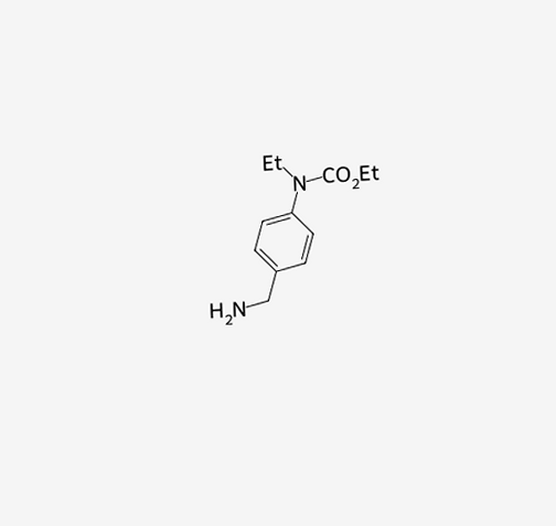 CCOC(=O)N(CC)c1ccc(CN)cc1